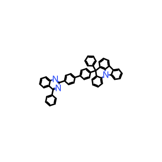 c1ccc(-c2nc(-c3ccc(-c4ccc(C5(c6ccccc6)c6ccccc6-n6c7ccccc7c7cccc5c76)cc4)cc3)nc3ccccc23)cc1